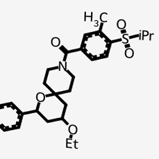 CCOC1CC(c2ccccc2)OC2(CCN(C(=O)c3ccc(S(=O)(=O)C(C)C)c(C)c3)CC2)C1